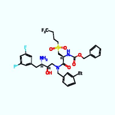 CCc1cccc(CN(C[C@@H](O)[C@@H](N)Cc2cc(F)cc(F)c2)C(=O)[C@@H](CS(=O)(=O)CCCC(F)(F)F)NC(=O)OCc2ccccc2)c1